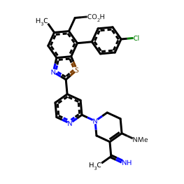 CNC1=C(C(C)=N)CN(c2cc(-c3nc4cc(C)c(CC(=O)O)c(-c5ccc(Cl)cc5)c4s3)ccn2)CC1